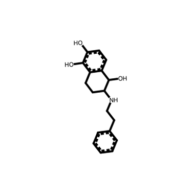 Oc1ccc2c(c1O)CCC(NCCc1ccccc1)C2O